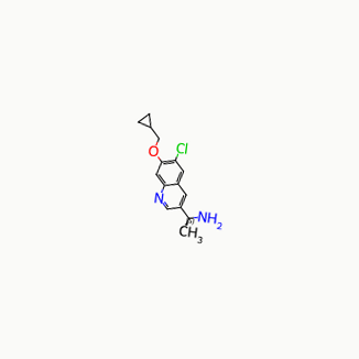 C[C@H](N)c1cnc2cc(OCC3CC3)c(Cl)cc2c1